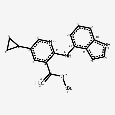 C=C(OC(C)(C)C)c1cc(C2CC2)cnc1Nc1cccc2[nH]ccc12